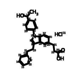 CC(O)c1ccc(-n2cc(CCc3ccccn3)c3cc(CCC(=O)O)ccc32)cc1.Cl